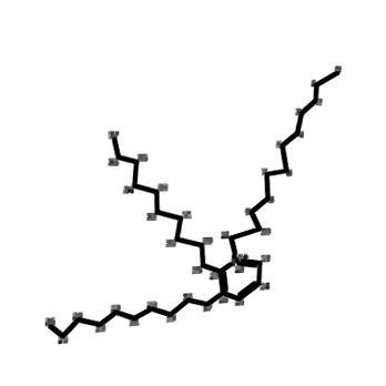 CCCCCCCCCCCC[n+]1cccc(CCCCCCCCCC)c1CCCCCCCCCC